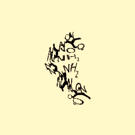 COC(=O)c1c(C)noc1/N=N/c1c(C)nn(-c2cc(-n3nc(C)c(/N=N/c4onc(C)c4C(=O)OC)c3N)ncn2)c1N